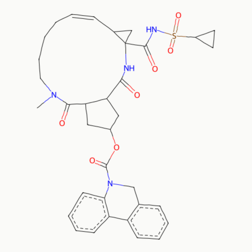 CN1CCCC/C=C\C2CC2(C(=O)NS(=O)(=O)C2CC2)NC(=O)C2CC(OC(=O)N3Cc4ccccc4-c4ccccc43)CC2C1=O